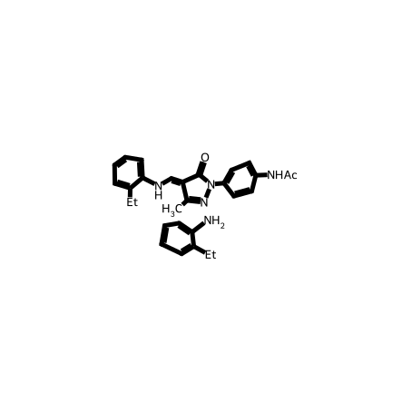 CCc1ccccc1N.CCc1ccccc1N/C=C1/C(=O)N(c2ccc(NC(C)=O)cc2)N=C1C